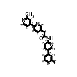 Cc1cc(-c2ccc(CC(=O)Nc3ccc(-c4cccc(F)c4)cn3)cn2)ccn1